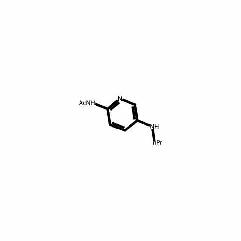 CCCNc1ccc(NC(C)=O)nc1